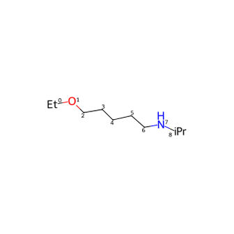 CCOCCCCCNC(C)C